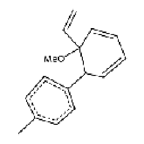 C=CC1(OC)C=CC=CC1c1ccc(C)cc1